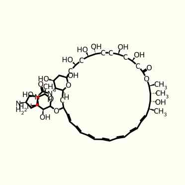 C[C@@H]1[C@H](O)[C@@H](C)/C=C/C=C/C=C/C=C/C=C/C=C/C=C/C(OC2O[C@H](C)[C@@H](O)[C@H](N)[C@@H]2O)C[C@@H]2O[C@](O)(C[C@@H](O)C[C@@H](O)[C@H](O)CC[C@@H](O)C[C@@H](O)CC(=O)O[C@H]1C)C[C@H](O)[C@H]2NC(=O)N1CC[C@@H](N)C1